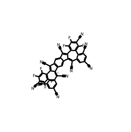 N#CC1=C(c2c(F)c(F)c(C#N)c(F)c2F)/C(=C(/C#N)c2cc(C#N)cc(C#N)c2)c2cc3c4c(C#N)c5cc(C#N)cc(C#N)c5c5c(F)c(C#N)c(F)c(F)c5c-4c(C#N)c3cc21